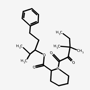 CCC(C)(C)C(=O)C(=O)N1CCCCC1C(=O)OC(CCc1ccccc1)C(C)C